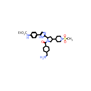 CCOC(=O)Nc1ccc(-c2cnc(C3CC(C4CCN(S(C)(=O)=O)CC4)CN3C(=O)C3CCC(CN)CC3)[nH]2)cc1